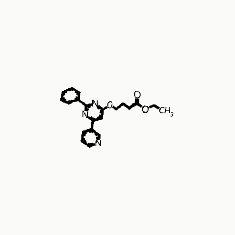 CCOC(=O)CCCOc1cc(-c2cccnc2)nc(-c2ccccc2)n1